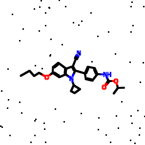 CCCCOc1ccc2c(C#N)c(-c3ccc(NC(=O)OC(C)C)cc3)n(C3CCC3)c2c1